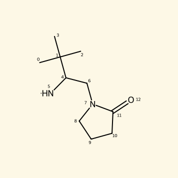 CC(C)(C)C([NH])CN1CCCC1=O